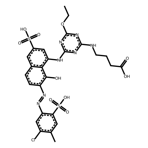 CCOc1nc(NCCCC(=O)O)nc(Nc2cc(S(=O)(=O)O)cc3ccc(N=Nc4cc(Cl)c(C)cc4S(=O)(=O)O)c(O)c23)n1